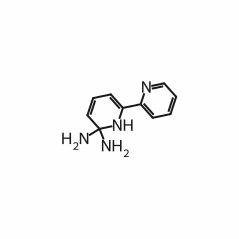 NC1(N)C=CC=C(c2ccccn2)N1